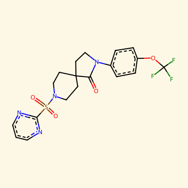 O=C1N(c2ccc(OC(F)(F)F)cc2)CCC12CCN(S(=O)(=O)c1ncccn1)CC2